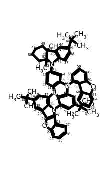 CC(C)(C)c1cc2c3c(c1)-n1c4c(cc(C(C)(C)C)cc4c4oc5ccccc5c41)B3c1ccc(N3c4ccc(C(C)(C)C)cc4C4(C)CCCCC34C)cc1N2c1cccc2oc3ccccc3c12